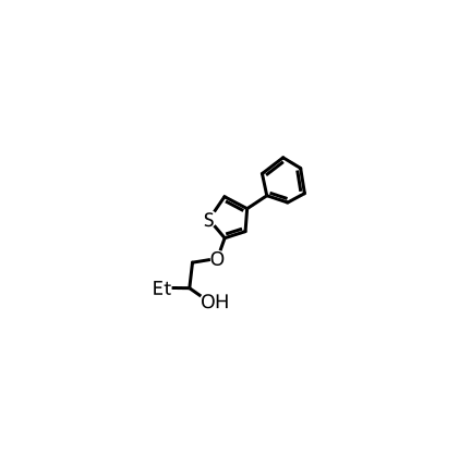 CCC(O)COc1cc(-c2ccccc2)cs1